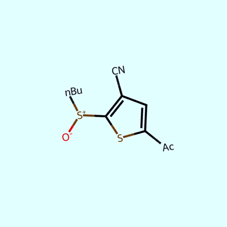 CCCC[S+]([O-])c1sc(C(C)=O)cc1C#N